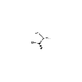 C=C(CC)C(CC)CCC